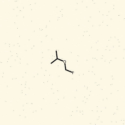 CC(C)OCF